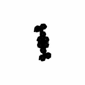 c1ccc([Si](c2ccccc2)(c2nccc3c2oc2ccc(-n4c5ccccc5c5ccncc54)cc23)c2nccc3c2sc2ccc(-n4c5ccccc5c5ccncc54)cc23)cc1